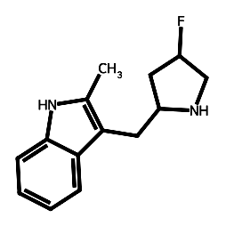 Cc1[nH]c2ccccc2c1CC1CC(F)CN1